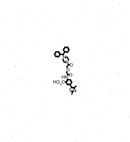 Cc1nc(C)c(-c2ccc(NC(=O)COCC(=O)N3CCN(C(c4ccccc4)c4ccccc4)CC3)c(C(=O)O)c2)s1